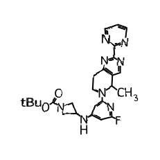 CC1c2cnc(-c3ncccn3)nc2CCN1c1cc(NC2CN(C(=O)OC(C)(C)C)C2)cc(F)n1